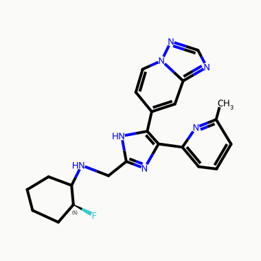 Cc1cccc(-c2nc(CNC3CCCC[C@@H]3F)[nH]c2-c2ccn3ncnc3c2)n1